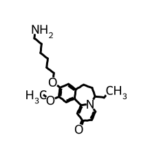 CCC1CCc2cc(OCCCCCCN)c(OC)cc2-c2cc(=O)ccn21